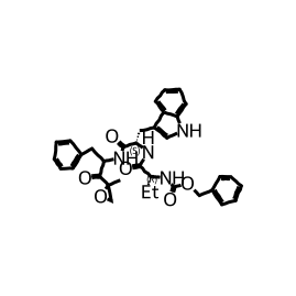 CC[C@@H](NC(=O)OCc1ccccc1)C(=O)N[C@@H](Cc1c[nH]c2ccccc12)C(=O)NC(Cc1ccccc1)C(=O)C1(C)CO1